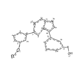 CCOc1cccc(-c2cn3c(-c4cccc(CO)c4)cnc3cn2)c1